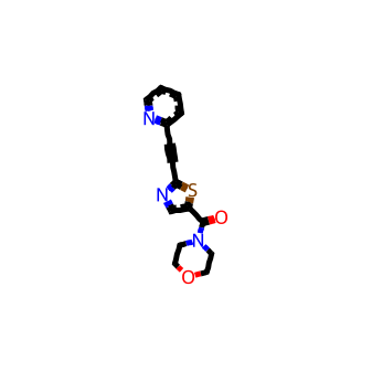 O=C(c1cnc(C#Cc2ccccn2)s1)N1CCOCC1